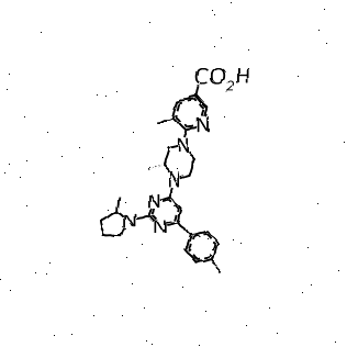 Cc1ccc(-c2cc(N3CCN(c4ncc(C(=O)O)cc4C)C[C@H]3C)nc(N3CCCC3C)n2)cc1